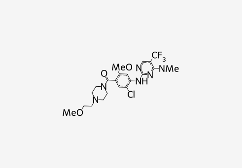 CNc1nc(Nc2cc(OC)c(C(=O)N3CCN(CCOC)CC3)cc2Cl)ncc1C(F)(F)F